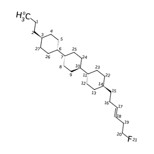 CCC[C@H]1CC[C@H]([C@H]2CC[C@H]([C@H]3CC[C@H](CCC=CCCF)CC3)CC2)CC1